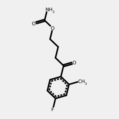 Cc1cc(F)ccc1C(=O)CCCOC(N)=O